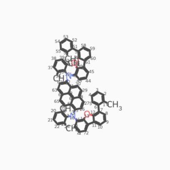 Cc1ccccc1-c1cccc2c1oc1c(N(c3c(C)cccc3C)c3ccc4ccc5c(N(c6c(C)cccc6C)c6cccc7c6oc6c(-c8ccccc8C)cccc67)ccc6ccc3c4c65)cccc12